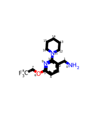 NCc1ccc(OCC(F)(F)F)nc1N1CCCCC1